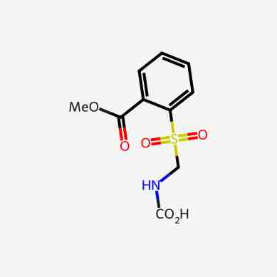 COC(=O)c1ccccc1S(=O)(=O)CNC(=O)O